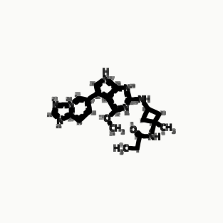 CCC(=O)NC1(C)CC(Nc2nc(OC)c3c(-c4ccc5ncnn5c4)c[nH]c3n2)C1